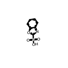 O=S(=O)(O)c1nc2ccccc2o1